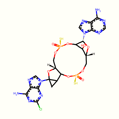 Nc1ncnc2c1ncn2[C@@H]1O[C@@H]2CO[P@@](=O)(S)OC3C4CC4(n4cnc5c(N)nc(Cl)nc54)O[C@@H]3CO[P@@](=O)(S)OC1C2O